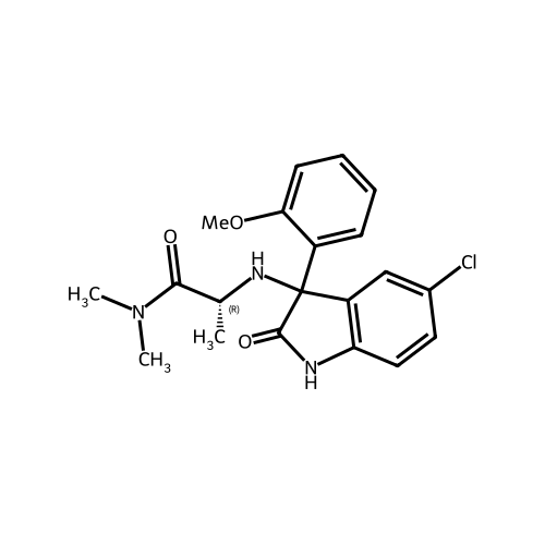 COc1ccccc1C1(N[C@H](C)C(=O)N(C)C)C(=O)Nc2ccc(Cl)cc21